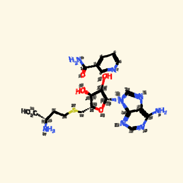 NC(=O)c1cccnc1.Nc1ncnc2c1ncn2[C@@H]1O[C@H](CSCC[C@H](N)C(=O)O)[C@@H](O)[C@H]1O